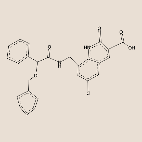 O=C(O)c1cc2cc(Cl)cc(CNC(=O)C(OCc3ccccc3)c3ccccc3)c2[nH]c1=O